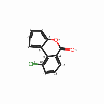 O=c1oc2ccccc2c2c(Cl)cccc12